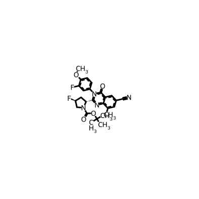 COc1ccc(-n2c([C@H]3C[C@H](F)CN3C(=O)OC(C)(C)C)nc3c(C)cc(C#N)cc3c2=O)cc1F